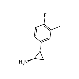 Cc1cc([C@@H]2C[C@H]2N)ccc1F